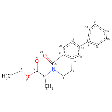 CCOC(=O)C(C)N1CCc2cc(-c3ccccc3)ccc2C1=O